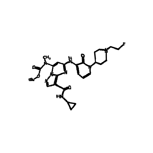 CN(C(=O)OC(C)(C)C)c1cc(Nc2cccn(C3CCN(CCF)CC3)c2=O)nc2c(C(=O)NC3CC3)cnn12